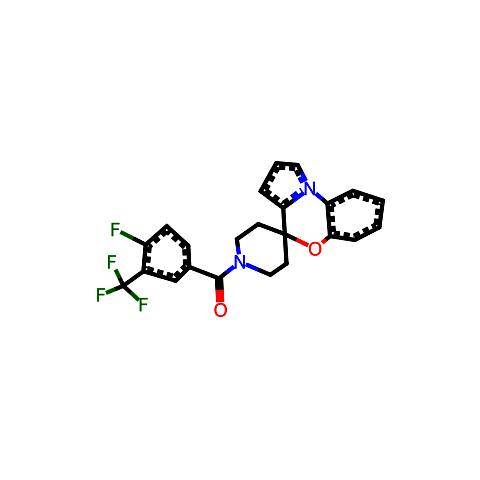 O=C(c1ccc(F)c(C(F)(F)F)c1)N1CCC2(CC1)Oc1ccccc1-n1cccc12